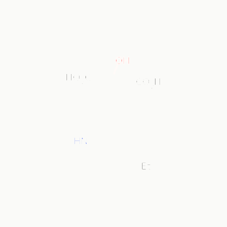 CC[C@H](C=N)CCC(O)(C(=O)O)C(=O)O